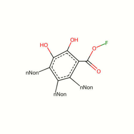 CCCCCCCCCc1c(O)c(O)c(C(=O)OF)c(CCCCCCCCC)c1CCCCCCCCC